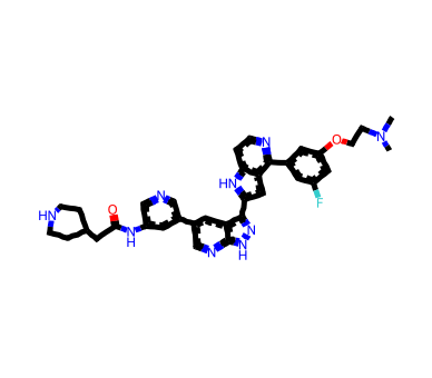 CN(C)CCOc1cc(F)cc(-c2nccc3[nH]c(-c4n[nH]c5ncc(-c6cncc(NC(=O)CC7CCNCC7)c6)cc45)cc23)c1